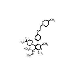 Cc1nc(C)c([C@H](OC(C)(C)C)C(=O)O)c(N2CCC(C)(C)CC2)c1-c1ccc(OCCN2CCC(C)CC2)cc1